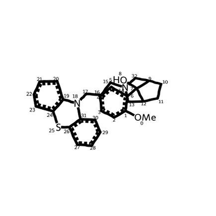 COc1ccccc1C1(O)C2CCC1CN(CCCN1c3ccccc3Sc3ccccc31)C2